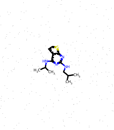 CC(C)CNc1nc(NC(C)C)c2ccsc2n1